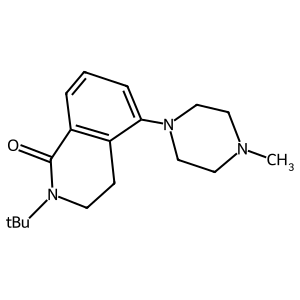 CN1CCN(c2cccc3c2CCN(C(C)(C)C)C3=O)CC1